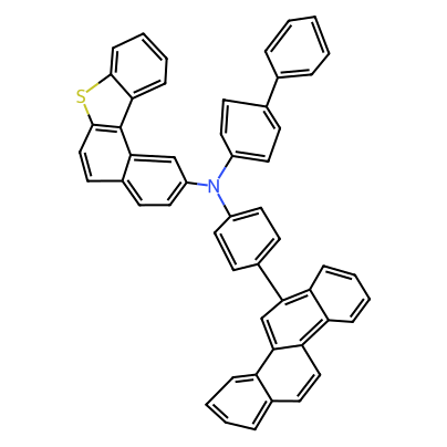 c1ccc(-c2ccc(N(c3ccc(-c4cc5c6ccccc6ccc5c5ccccc45)cc3)c3ccc4ccc5sc6ccccc6c5c4c3)cc2)cc1